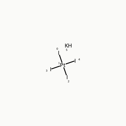 [I][Pt]([I])([I])[I].[KH]